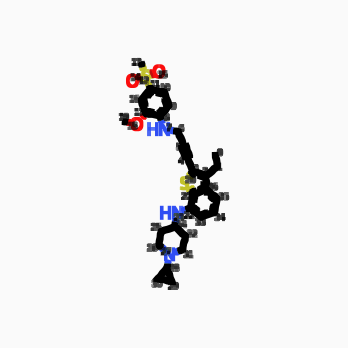 CCc1c(C#CCNc2ccc(S(C)(=O)=O)cc2OC)sc2c(NC3CCN(C4CC4)CC3)cccc12